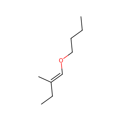 CCCCO/C=C(\C)CC